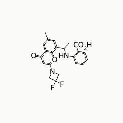 Cc1cc(C(C)Nc2ccccc2C(=O)O)c2oc(N3CC(F)(F)C3)cc(=O)c2c1